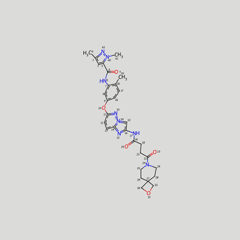 Cc1cc(C(=O)Nc2cc(Oc3ccc4nc(NC(=O)CCC(=O)N5CCC6(CC5)COC6)cn4n3)ccc2C)n(C)n1